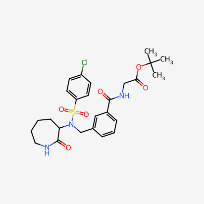 CC(C)(C)OC(=O)CNC(=O)c1cccc(CN(C2CCCCNC2=O)S(=O)(=O)c2ccc(Cl)cc2)c1